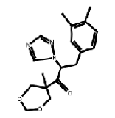 Cc1ccc(CC(C(=O)C2(C)COCOC2)n2cncn2)cc1C